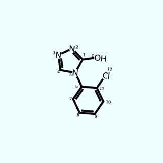 Oc1nncn1-c1ccccc1Cl